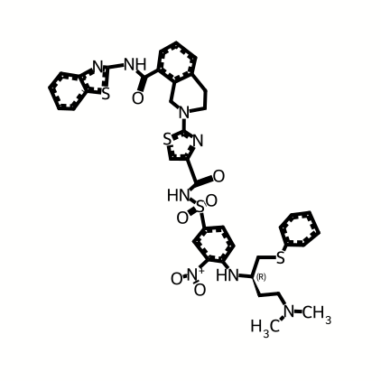 CN(C)CC[C@H](CSc1ccccc1)Nc1ccc(S(=O)(=O)NC(=O)c2csc(N3CCc4cccc(C(=O)Nc5nc6ccccc6s5)c4C3)n2)cc1[N+](=O)[O-]